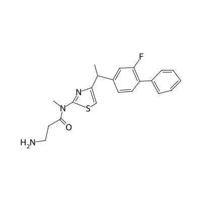 CC(c1ccc(-c2ccccc2)c(F)c1)c1csc(N(C)C(=O)CCN)n1